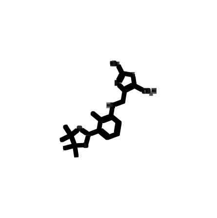 Cc1c(NCc2nc(C(C)(C)C)sc2C(=O)O)cccc1B1OC(C)(C)C(C)(C)O1